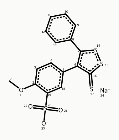 COc1ccc(-c2c(-c3ccccc3)ssc2=S)cc1S(=O)(=O)[O-].[Na+]